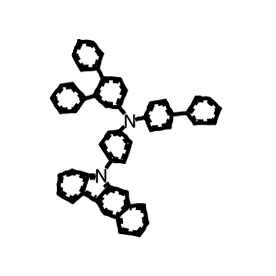 c1ccc(-c2ccc(N(c3ccc(-n4c5ccccc5c5cc6ccccc6cc54)cc3)c3ccc(-c4ccccc4)c(-c4ccccc4)c3)cc2)cc1